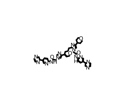 O=C(Cn1cnc(C2=CCOC(Cc3nc(C4CCOCC4)cn3CC(=O)Nc3ccc(-c4cnccn4)cn3)C2)c1)Nc1ccc(-c2cnccn2)cn1